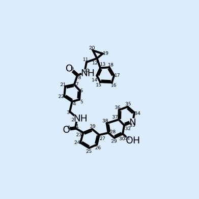 O=C(NCc1ccc(C(=O)NCC2(c3ccccc3)CC2)cc1)c1cccc(-c2cc(O)c3ncccc3c2)c1